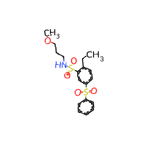 CCc1ccc(S(=O)(=O)c2ccccc2)cc1S(=O)(=O)NCCCOC